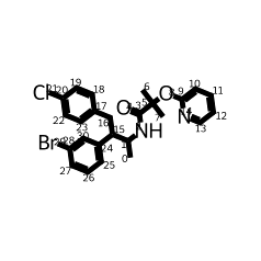 CC(NC(=O)C(C)(C)Oc1ccccn1)C(Cc1ccc(Cl)cc1)c1cccc(Br)c1